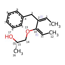 C/C=C(Cc1ccccc1)\C(=C/C)OC[C@H](C)O